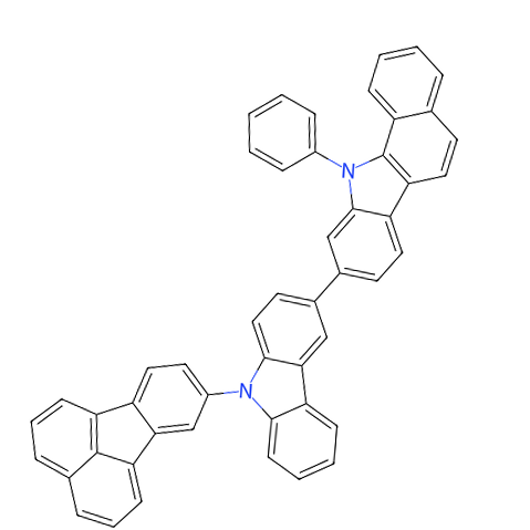 c1ccc(-n2c3cc(-c4ccc5c(c4)c4ccccc4n5-c4ccc5c(c4)-c4cccc6cccc-5c46)ccc3c3ccc4ccccc4c32)cc1